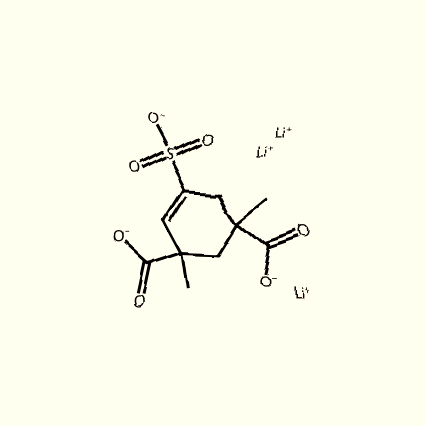 CC1(C(=O)[O-])C=C(S(=O)(=O)[O-])CC(C)(C(=O)[O-])C1.[Li+].[Li+].[Li+]